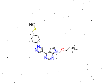 C[Si](C)(C)CCOCn1ccc2c(-c3cnn([C@H]4CC[C@@H](CSC#N)CC4)c3)ncnc21